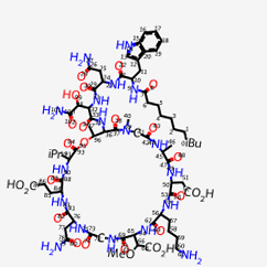 CCC(C)CCCCCCC(=O)NC(Cc1c[nH]c2ccccc12)C(=O)NC(CC(N)=O)C(=O)NC(C(=O)NC1C(=O)N(C)CC(=O)NC(C)C(=O)NC(CC(=O)O)C(=O)NC(CCCCN)C(=O)NC(C(OC)C(=O)O)C(=O)NCC(=O)NC(CC(N)=O)C(=O)NC(CCC(=O)O)C(=O)NC(C(C)C)C(=O)OC1C)C(O)C(N)=O